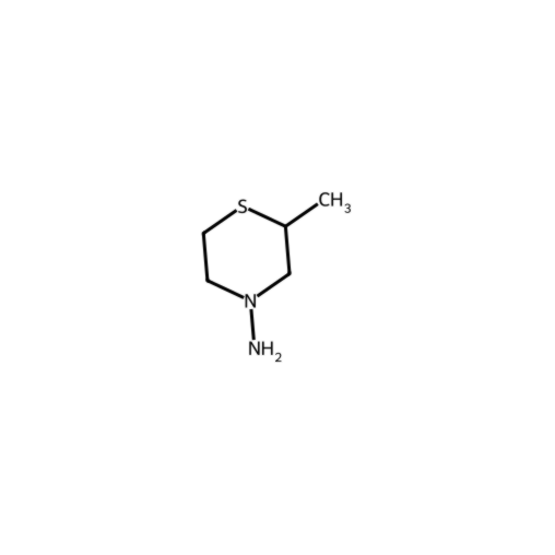 CC1CN(N)CCS1